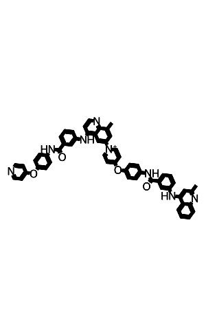 Cc1cc(Nc2cccc(C(=O)Nc3ccc(Oc4cc[n+](-c5cc(C)c6nccc(Nc7cccc(C(=O)Nc8ccc(Oc9ccncc9)cc8)c7)c6c5)cc4)cc3)c2)c2ccccc2n1